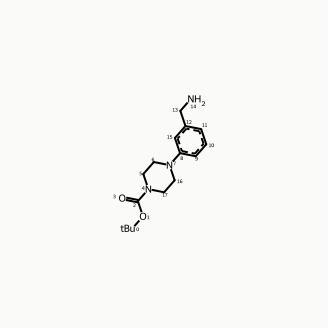 CC(C)(C)OC(=O)N1CCN(c2cccc(CN)c2)CC1